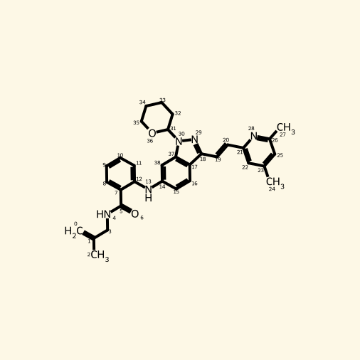 C=C(C)CNC(=O)c1ccccc1Nc1ccc2c(C=Cc3cc(C)cc(C)n3)nn(C3CCCCO3)c2c1